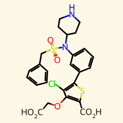 O=C(O)COc1c(C(=O)O)sc(-c2cccc(N(C3CCNCC3)S(=O)(=O)Cc3ccccc3)c2)c1Cl